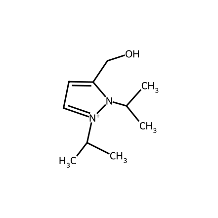 CC(C)n1c(CO)cc[n+]1C(C)C